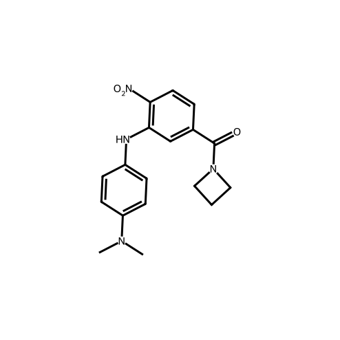 CN(C)c1ccc(Nc2cc(C(=O)N3CCC3)ccc2[N+](=O)[O-])cc1